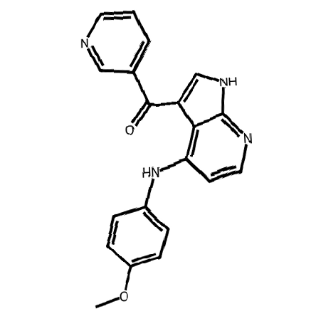 COc1ccc(Nc2ccnc3[nH]cc(C(=O)c4cccnc4)c23)cc1